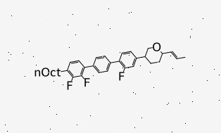 C/C=C/C1CCC(c2ccc(-c3ccc(-c4ccc(CCCCCCCC)c(F)c4F)cc3)c(F)c2)CO1